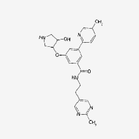 Cc1ccc(-c2cc(OC3CNCC3O)cc(C(=O)NCCc3cnc(C)nc3)c2)nc1